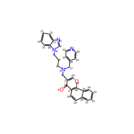 O=c1c(CN(CCCn2cnc3ccccc32)Cc2ccncc2)coc2c1ccc1ccccc12